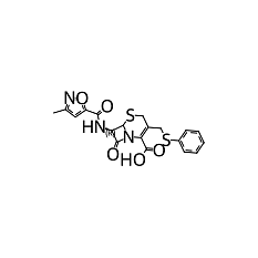 Cc1cc(C(=O)N[C@@H]2C(=O)N3C(C(=O)O)=C(CSc4ccccc4)CSC23)on1